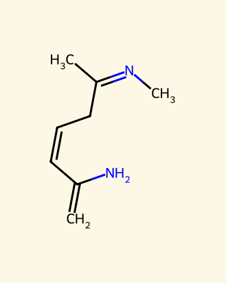 C=C(N)/C=C\C/C(C)=N\C